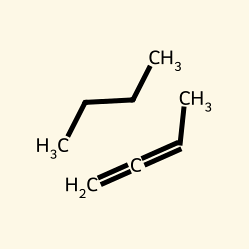 C=C=CC.CCCC